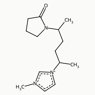 CC(CCC(C)[n+]1ccn(C)c1)N1CCCC1=O